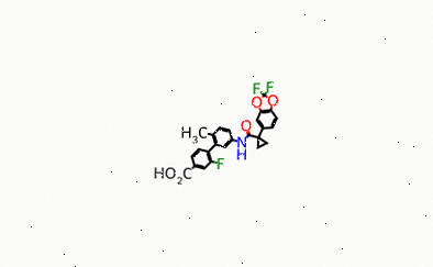 Cc1ccc(NC(=O)C2(c3ccc4c(c3)OC(F)(F)O4)CC2)cc1-c1ccc(C(=O)O)cc1F